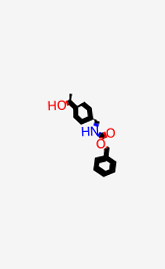 C[C@H](O)[C@H]1CC[C@H](CNC(=O)OCc2ccccc2)CC1